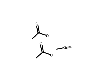 CC(=O)[O-].CC(=O)[O-].[CH3][Sn+2]